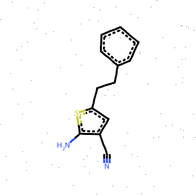 N#Cc1cc(CCc2ccccc2)sc1N